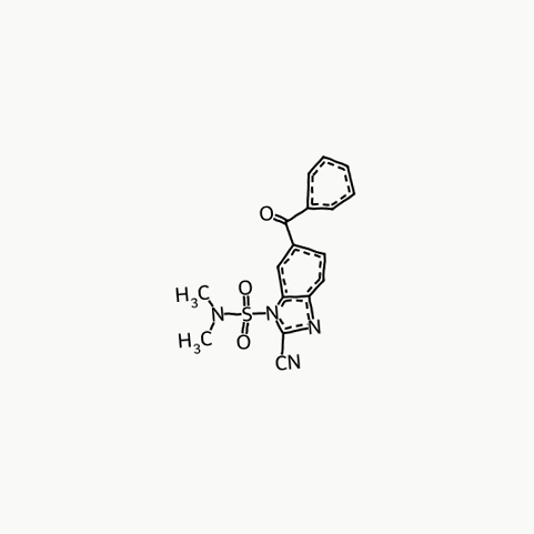 CN(C)S(=O)(=O)n1c(C#N)nc2ccc(C(=O)c3ccccc3)cc21